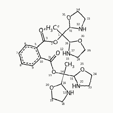 CC(OC(=O)c1ccccc1C(=O)OC(C)(C1NCCO1)C1NCCO1)(C1NCCO1)C1NCCO1